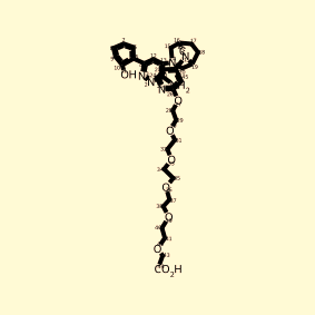 Nc1nnc(-c2ccccc2O)cc1N1CC2CCC(C1)N(c1ccnc(OCCOCCOCCOCCOCCOCC(=O)O)c1)C2